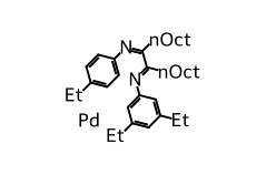 CCCCCCCCC(=Nc1ccc(CC)cc1)C(CCCCCCCC)=Nc1cc(CC)cc(CC)c1.[Pd]